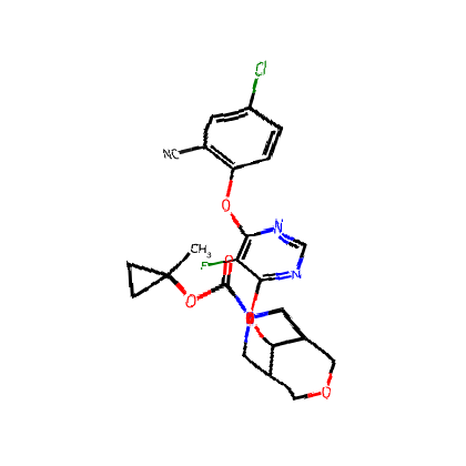 CC1(OC(=O)N2CC3COCC(C2)C3Oc2ncnc(Oc3ccc(Cl)cc3C#N)c2F)CC1